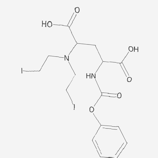 O=C(NC(CC(C(=O)O)N(CCI)CCI)C(=O)O)Oc1ccccc1